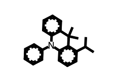 CC(C)c1cccc2c1C(C)(C)c1ccccc1N2c1ccccc1